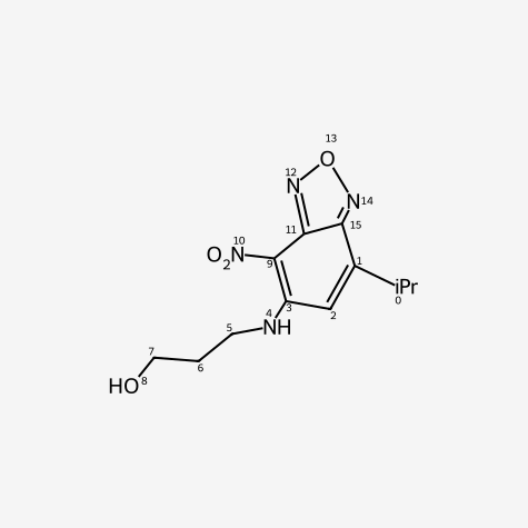 CC(C)c1cc(NCCCO)c([N+](=O)[O-])c2nonc12